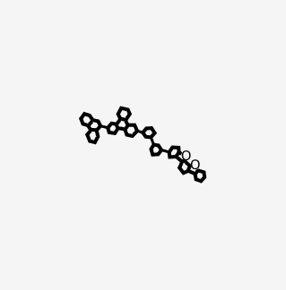 c1cc(-c2cccc(-c3ccc4c5ccc(-c6cc7ccccc7c7ccccc67)cc5c5ccccc5c4c3)c2)cc(-c2ccc3oc4c(ccc5c6ccccc6oc54)c3c2)c1